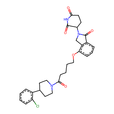 O=C1CCC(N2Cc3c(OCCCCC(=O)N4CCC(c5ccccc5Cl)CC4)cccc3C2=O)C(=O)N1